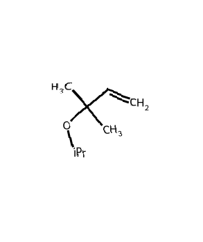 C=CC(C)(C)OC(C)C